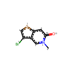 Cn1cc2c(Br)csc2cc1=O